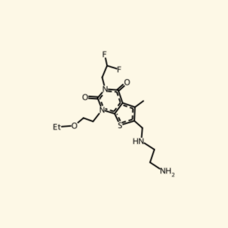 CCOCCn1c(=O)n(CC(F)F)c(=O)c2c(C)c(CNCCN)sc21